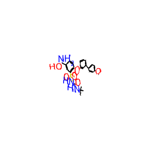 COc1ccc(-c2cccc(Oc3ccc(C(N)O)cc3S(=O)(=O)NC(=O)NC(C)(C)C)c2)cc1